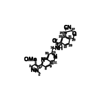 COc1cnn(C)c1-c1ccc2cnc(CNC(=O)c3ccc4c(c3)[C@](C)(C#N)COC4)cc2n1